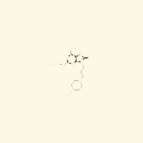 CCCCNc1nc(N)c2[nH]c(=O)n(CCCN3CCN(CCC)CC3)c2n1